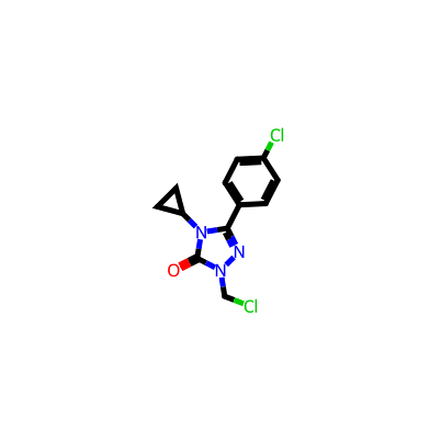 O=c1n(CCl)nc(-c2ccc(Cl)cc2)n1C1CC1